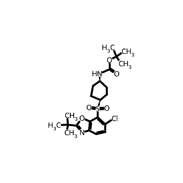 CC(C)(C)OC(=O)N[C@H]1CC[C@@H](S(=O)(=O)c2c(Cl)ccc3nc(C(C)(C)C)oc23)CC1